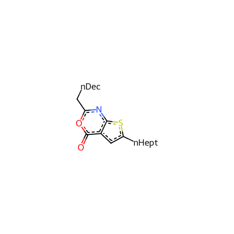 CCCCCCCCCCCc1nc2sc(CCCCCCC)cc2c(=O)o1